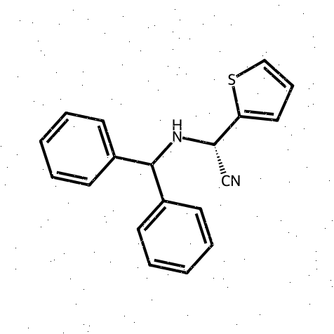 N#C[C@H](NC(c1ccccc1)c1ccccc1)c1cccs1